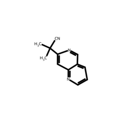 CC(C)(C#N)c1cc2ncccc2cn1